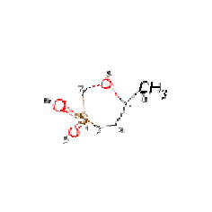 CC1CCS(=O)(=O)CO1